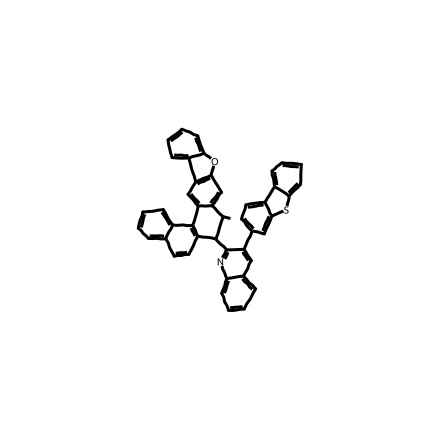 CC1c2cc3oc4ccccc4c3cc2-c2c(ccc3ccccc23)C1c1nc2ccccc2cc1-c1ccc2c(c1)sc1ccccc12